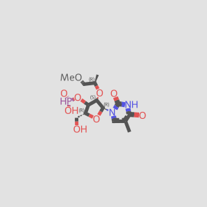 COC[C@@H](C)O[C@H]1C(O[PH](=O)O)[C@@H](CO)O[C@H]1n1cc(C)c(=O)[nH]c1=O